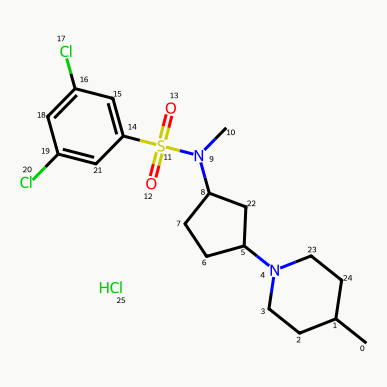 CC1CCN(C2CCC(N(C)S(=O)(=O)c3cc(Cl)cc(Cl)c3)C2)CC1.Cl